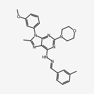 COc1cccc(-n2c(C)nc3c(N/N=C/c4cccc(C)c4)nc(N4CCOCC4)nc32)c1